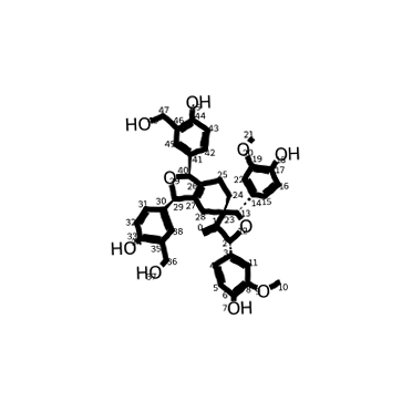 C=C1[C@@H](c2ccc(O)c(OC)c2)O[C@@H](c2ccc(O)c(OC)c2)[C@]12CCC1=C(C2)[C@@H](c2ccc(O)c(CO)c2)O[C@H]1c1ccc(O)c(CO)c1